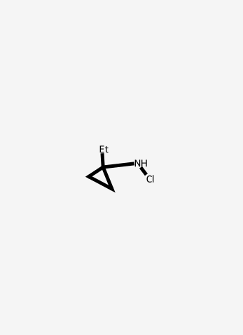 CCC1(NCl)CC1